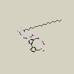 CCCCCCCCCCCCCCCCCC(=O)N(C)[C@H](CO)C(=O)N[C@H](C)C(=O)NCC(=O)N(C)[C@@H]1C(=O)N[C@@H](C)C(=O)N[C@H](C(=O)O)Cc2ccc(O)c(c2)-c2cc1ccc2O